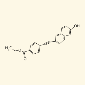 CCOC(=O)c1ccc(C#Cc2ccc3cc(O)ccc3c2)cc1